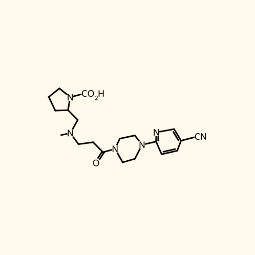 CN(CCC(=O)N1CCN(c2ccc(C#N)cn2)CC1)CC1CCCN1C(=O)O